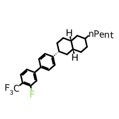 CCCCCC1CC[C@@H]2C[C@H](c3ccc(-c4ccc(C(F)(F)F)c(F)c4)cc3)CC[C@@H]2C1